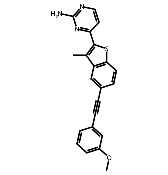 COc1cccc(C#Cc2ccc3sc(-c4ccnc(N)n4)c(C)c3c2)c1